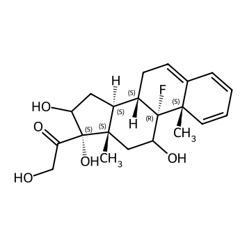 C[C@]12C=CC=CC1=CC[C@H]1[C@@H]3CC(O)[C@](O)(C(=O)CO)[C@@]3(C)CC(O)[C@@]12F